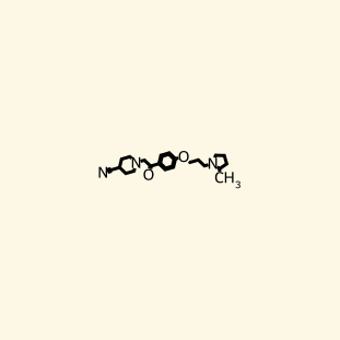 CC1CCCN1CCCOc1ccc(C(=O)CN2CCC(C#N)CC2)cc1